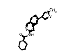 CN1CC(c2ccc3cnc(NC(=O)C4CCCCC4)cc3c2)C=N1